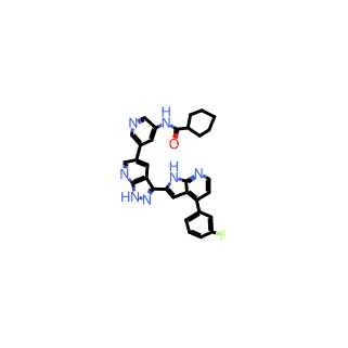 O=C(Nc1cncc(-c2cnc3[nH]nc(-c4cc5c(-c6cccc(F)c6)ccnc5[nH]4)c3c2)c1)C1CCCCC1